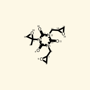 CC1(n2c(=O)n(CC3CO3)c(=O)n(CC3CO3)c2=O)CO1